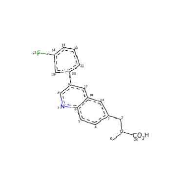 CC(Cc1ccc2ncc(-c3cccc(F)c3)cc2c1)C(=O)O